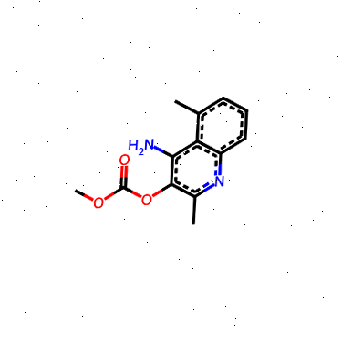 COC(=O)Oc1c(C)nc2cccc(C)c2c1N